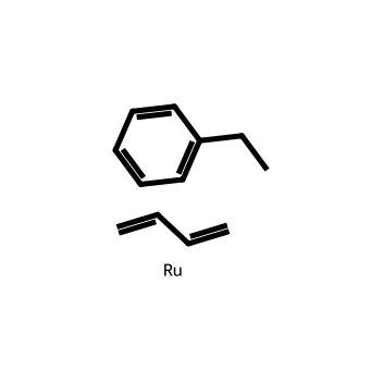 C=CC=C.CCc1ccccc1.[Ru]